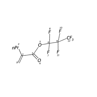 C=C(CCC)C(=O)OC(F)(F)C(F)(F)C(F)(F)F